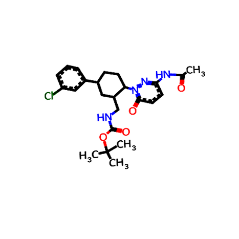 CC(=O)Nc1ccc(=O)n(C2CCC(c3cccc(Cl)c3)CC2CNC(=O)OC(C)(C)C)n1